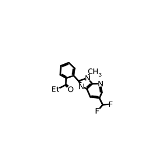 CCC(=O)c1ccccc1-c1nc2cc(C(F)F)cnc2n1C